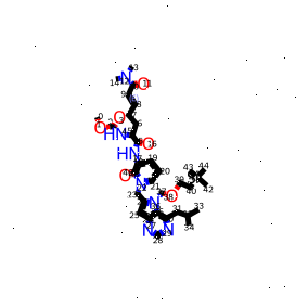 COC(=O)NC(CC/C=C/C(=O)N(C)C)C(=O)Nc1cccn(Cc2cc3ncnc(CC(C)C)c3n2COCC[Si](C)(C)C)c1=O